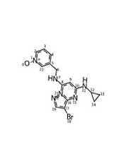 [O-][n+]1cccc(CNc2cc(NC3CC3)nc3c(Br)cnn23)c1